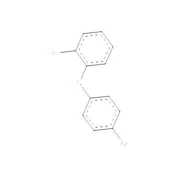 O=Cc1ccccc1Nc1ccc([N+](=O)[O-])cc1